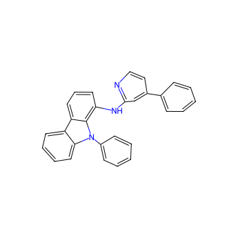 c1ccc(-c2ccnc(Nc3cccc4c5ccccc5n(-c5ccccc5)c34)c2)cc1